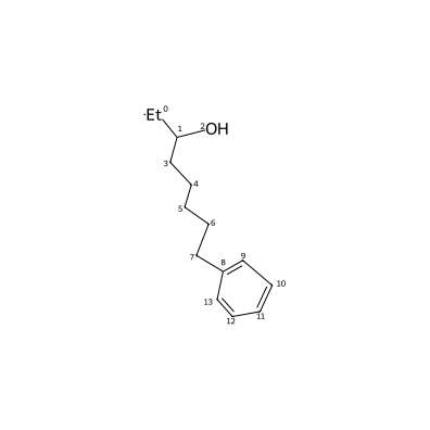 C[CH]C(O)CCCCCc1ccccc1